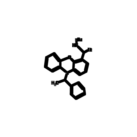 CCCCNC(CC)c1cccc2c1Oc1ccccc1N2C(C)c1ccccc1